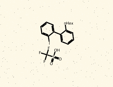 CCCCCCc1ccccc1-c1ccccc1I.O=S(=O)(O)C(F)(F)F